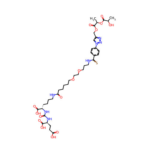 CC(O)C(=O)OC(C)C(=O)OCc1cn(-c2ccc(C(=S)NCCCOCCOCCCCCC(=O)NCCCC[C@H](NC(=O)N[C@@H](CCC(=O)O)C(=O)O)C(=O)O)cc2)nn1